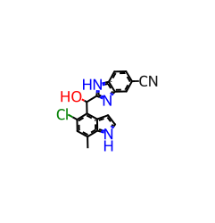 Cc1cc(Cl)c(C(O)c2nc3cc(C#N)ccc3[nH]2)c2cc[nH]c12